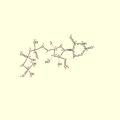 C=C[C@]1(O)[C@H](n2ccc(=O)[nH]c2=O)O[C@](F)(COP(=O)(O)OP(=O)(O)OP(=O)(O)O)[C@H]1O